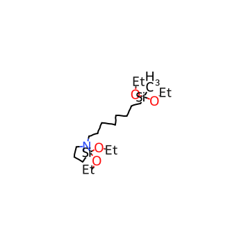 CCO[Si](C)(CCCCCCCCN1CCC[Si]1(OCC)OCC)OCC